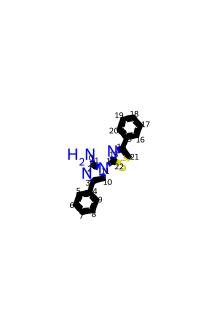 Nc1nc(-c2ccccc2)cn1-c1nc(-c2ccccc2)cs1